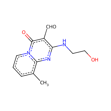 Cc1cccn2c(=O)c(C=O)c(NCCO)nc12